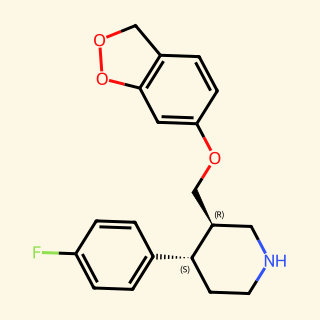 Fc1ccc([C@H]2CCNC[C@@H]2COc2ccc3c(c2)OOC3)cc1